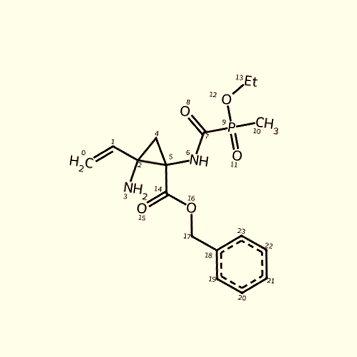 C=CC1(N)CC1(NC(=O)P(C)(=O)OCC)C(=O)OCc1ccccc1